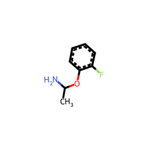 CC(N)Oc1ccccc1F